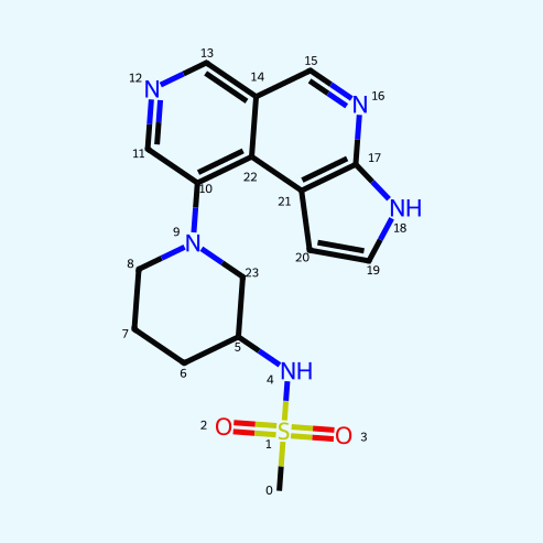 CS(=O)(=O)NC1CCCN(c2cncc3cnc4[nH]ccc4c23)C1